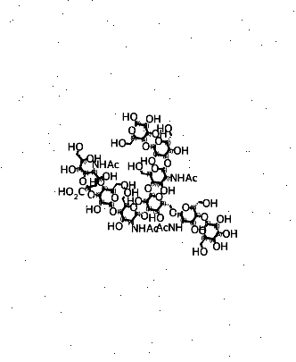 CC(=O)N[C@H]1[C@H](OC[C@H]2O[C@@H](O[C@H]3[C@H](O)[C@@H](NC(C)=O)[C@H](O[C@H]4[C@@H](O)[C@@H](CO)O[C@@H](O[C@H]5[C@H](O)[C@@H](O)[C@H](O)O[C@@H]5CO)[C@@H]4O)O[C@@H]3CO)[C@H](O)[C@@H](O[C@H]3O[C@H](CO)[C@@H](O[C@@H]4O[C@H](CO)[C@H](O)[C@H](O[C@]5(C(=O)O)C[C@H](O)[C@@H](NC(C)=O)[C@H]([C@H](O)[C@H](O)CO)O5)[C@H]4O)[C@H](O)[C@H]3NC(C)=O)[C@H]2O)O[C@H](CO)[C@@H](O[C@@H]2O[C@H](CO)[C@H](O)[C@H](O)[C@H]2O)[C@@H]1O